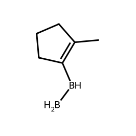 BBC1=C(C)CCC1